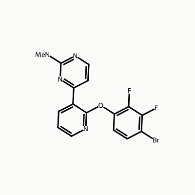 CNc1nccc(-c2cccnc2Oc2ccc(Br)c(F)c2F)n1